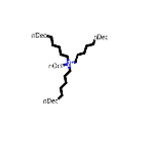 CCCCCCCCCCCCCCC[N+](CCCCCCCC)(CCCCCCCCCCCCCCC)CCCCCCCCCCCCCCC